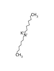 CCCCCCCC[N-]CCCCCCCC.[K+]